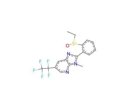 CC[S+]([O-])c1ccccc1-c1nc2cc(C(F)(F)C(F)(F)F)cnc2n1C